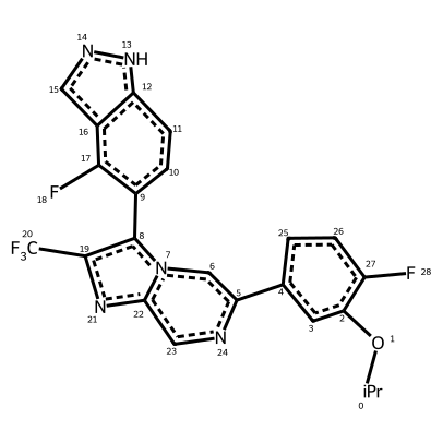 CC(C)Oc1cc(-c2cn3c(-c4ccc5[nH]ncc5c4F)c(C(F)(F)F)nc3cn2)ccc1F